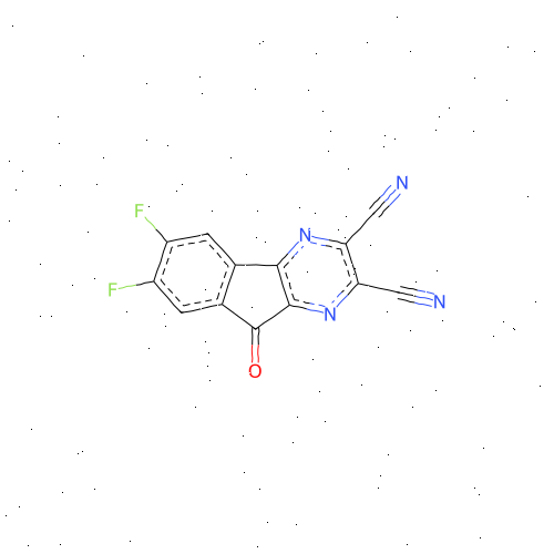 N#Cc1nc2c(nc1C#N)-c1cc(F)c(F)cc1C2=O